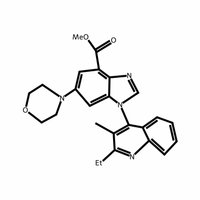 CCc1nc2ccccc2c(-n2cnc3c(C(=O)OC)cc(N4CCOCC4)cc32)c1C